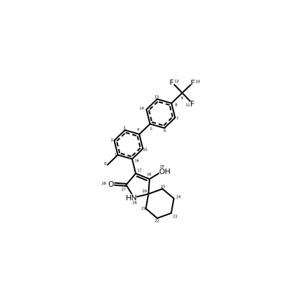 Cc1ccc(-c2ccc(C(F)(F)F)cc2)cc1C1=C(O)C2(CCCCC2)NC1=O